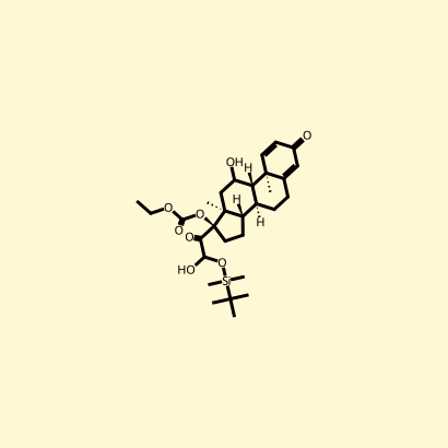 CCOC(=O)O[C@]1(C(=O)C(O)O[Si](C)(C)C(C)(C)C)CC[C@H]2[C@@H]3CCC4=CC(=O)C=C[C@]4(C)[C@H]3C(O)C[C@@]21C